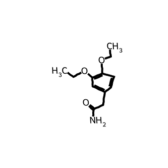 CCOc1ccc(CC(N)=O)cc1OCC